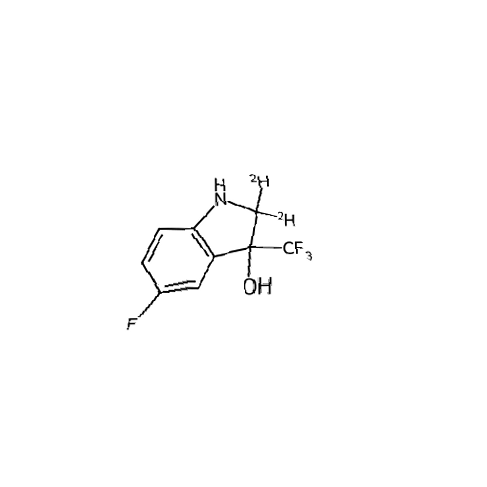 [2H]C1([2H])Nc2ccc(F)cc2C1(O)C(F)(F)F